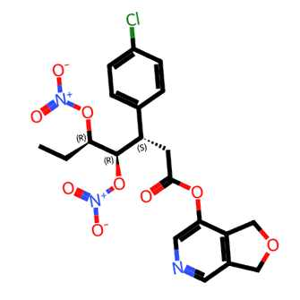 CC[C@@H](O[N+](=O)[O-])[C@H](O[N+](=O)[O-])[C@@H](CC(=O)Oc1cncc2c1COC2)c1ccc(Cl)cc1